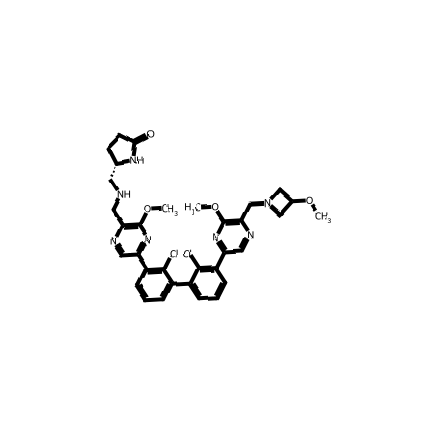 COc1nc(-c2cccc(-c3cccc(-c4cnc(CN5CC(OC)C5)c(OC)n4)c3Cl)c2Cl)cnc1CNC[C@@H]1CCC(=O)N1